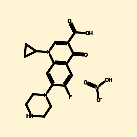 O=C(O)c1cn(C2CC2)c2cc(N3CCNCC3)c(F)cc2c1=O.O=[N+]([O-])O